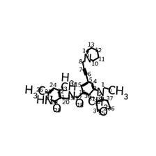 CCN(c1cc(C#CCN2CCCCC2)cc(C(=O)NCc2c(C)cc(C)[nH]c2=O)c1C)C1CCOCC1